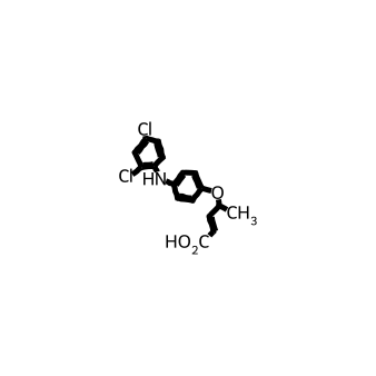 CC(/C=C/C(=O)O)Oc1ccc(Nc2ccc(Cl)cc2Cl)cc1